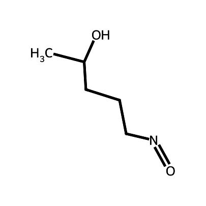 CC(O)CCCN=O